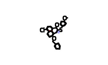 COc1ccc(S/C(=C/c2ccccc2OCc2ccccc2)C(=O)c2ccc(Cl)cc2)cc1